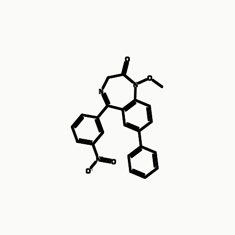 CON1C(=O)CN=C(c2cccc([N+](=O)[O-])c2)c2cc(-c3ccccc3)ccc21